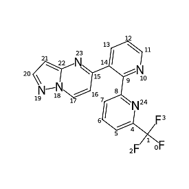 FC(F)(F)c1cccc(-c2ncccc2-c2ccn3nccc3n2)n1